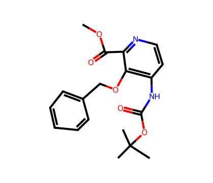 COC(=O)c1nccc(NC(=O)OC(C)(C)C)c1OCc1ccccc1